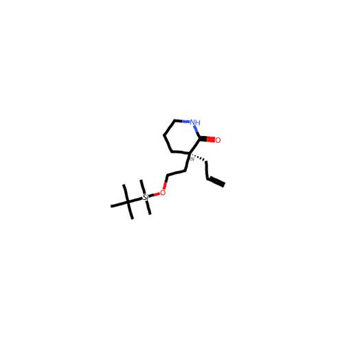 C=CC[C@]1(CCO[Si](C)(C)C(C)(C)C)CCCNC1=O